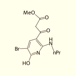 CCCNc1nc(O)c(Br)cc1C(=O)CC(=O)OC